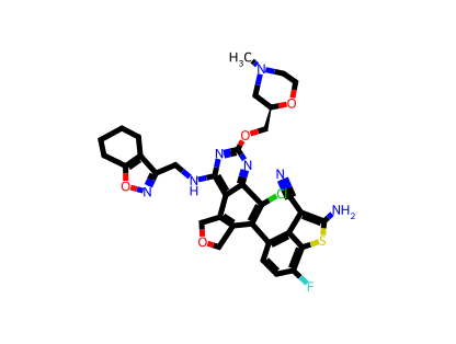 CN1CCO[C@@H](COc2nc(NCc3noc4c3CCCC4)c3c4c(c(-c5ccc(F)c6sc(N)c(C#N)c56)c(Cl)c3n2)COC4)C1